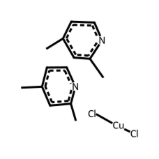 Cc1ccnc(C)c1.Cc1ccnc(C)c1.[Cl][Cu][Cl]